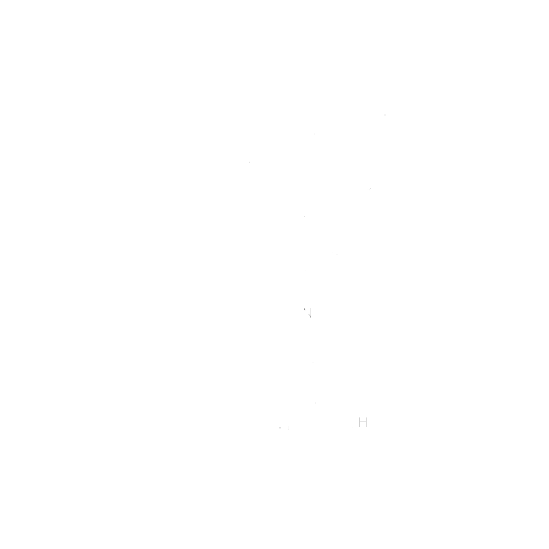 C[S+]([O-])C1CN(C(=O)CC2(c3ccccc3)C3CC4CC2CC(C3)C4O)C1